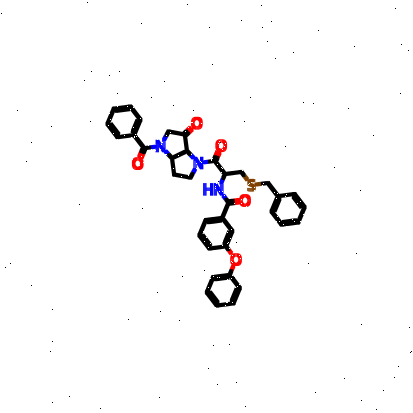 O=C(NC(CSCc1ccccc1)C(=O)N1CCC2C1C(=O)CN2C(=O)c1ccccc1)c1cccc(Oc2ccccc2)c1